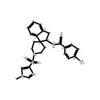 Cn1cnc(S(=O)(=O)N2CCC3(CC2)c2ccccc2CC3NC(=O)c2ccc(C(F)(F)F)cc2)c1